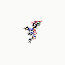 O=C(N[C@@H](Cc1cccs1)C(=O)N1CCC[C@H]1C(=O)N1CCO[C@H](c2ccccc2)C1)c1cc2cc(C(F)(F)P(=O)(O)O)ccc2s1